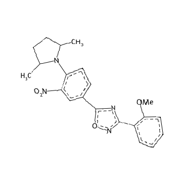 COc1ccccc1-c1noc(-c2ccc(N3C(C)CCC3C)c([N+](=O)[O-])c2)n1